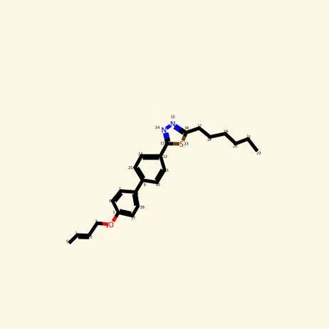 CC=CCOc1ccc(-c2ccc(-c3nnc(CCCCCC)s3)cc2)cc1